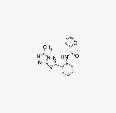 Cc1nnc2sc(-c3ccccc3NC(=O)c3ccco3)nn12